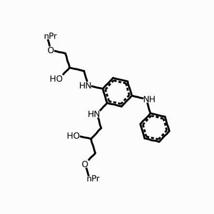 CCCOCC(O)CNc1ccc(Nc2ccccc2)cc1NCC(O)COCCC